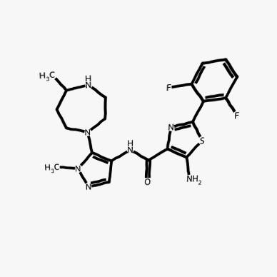 CC1CCN(c2c(NC(=O)c3nc(-c4c(F)cccc4F)sc3N)cnn2C)CCN1